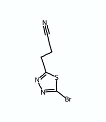 N#CCCc1nnc(Br)s1